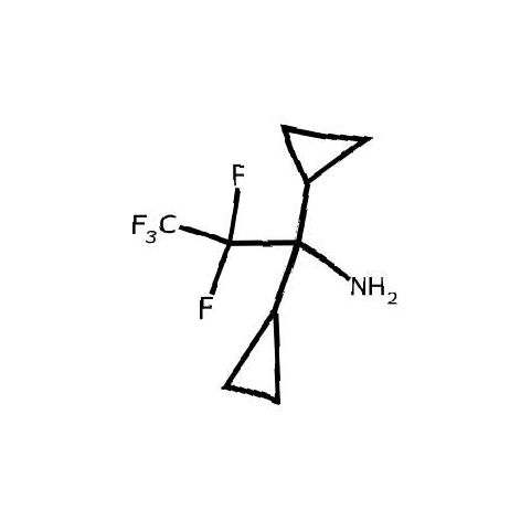 NC(C1CC1)(C1CC1)C(F)(F)C(F)(F)F